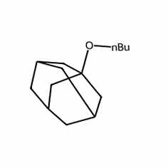 C[CH]CCOC12CC3CC(CC(C3)C1)C2